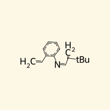 C=Cc1ccccc1/N=C\C(=C)C(C)(C)C